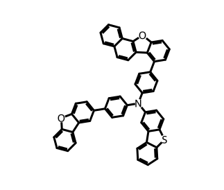 c1ccc2c(c1)ccc1c2oc2cccc(-c3ccc(N(c4ccc(-c5ccc6oc7ccccc7c6c5)cc4)c4ccc5sc6ccccc6c5c4)cc3)c21